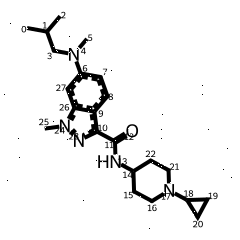 CC(C)CN(C)c1ccc2c(C(=O)NC3CCN(C4CC4)CC3)nn(C)c2c1